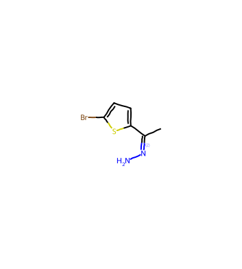 C/C(=N/N)c1ccc(Br)s1